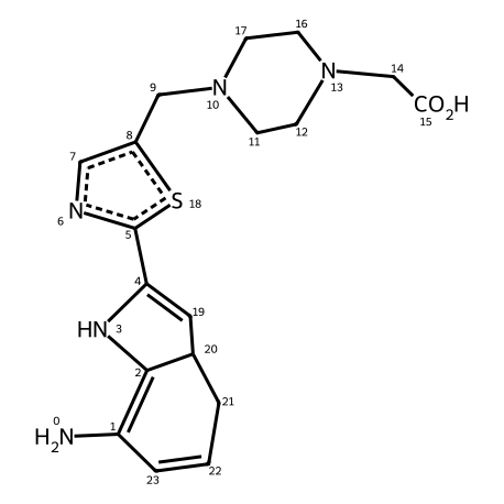 NC1=C2NC(c3ncc(CN4CCN(CC(=O)O)CC4)s3)=CC2CC=C1